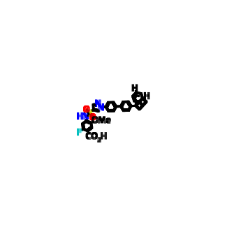 COc1cc(C(=O)O)c(F)cc1NS(=O)(=O)c1cnn(-c2ccc(-c3ccc([C@]45CC6C[C@@H]7C[C@@H](CCC674)C5)cc3)cc2)c1